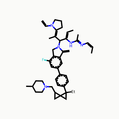 C=CN1CCC/C1=C(/C)C(/C(=C/C)N/C(C)=N/C=C\C)N1Cc2c(F)cc(-c3ccc(C4(CC)CC45CC5CN4CCC(C)CC4)cc3)cc2C1=C